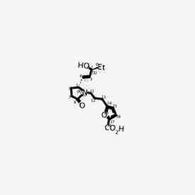 CC[C@H](O)/C=C/[C@H]1CCC(=O)N1CCCc1ccc(C(=O)O)o1